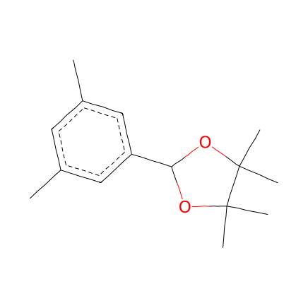 Cc1cc(C)cc(C2OC(C)(C)C(C)(C)O2)c1